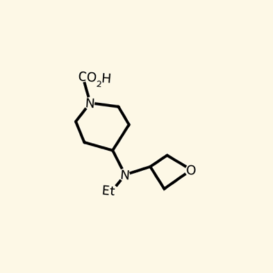 CCN(C1CCN(C(=O)O)CC1)C1COC1